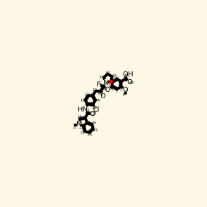 COc1cc(OC(F)(C(=O)Cc2ccc(NC(=O)c3cn(C)c4ccccc34)c(Cl)c2)N2CCCC2)ccc1C(=O)O